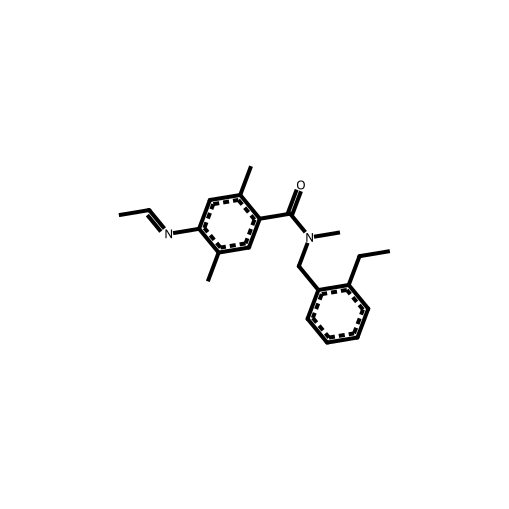 C/C=N/c1cc(C)c(C(=O)N(C)Cc2ccccc2CC)cc1C